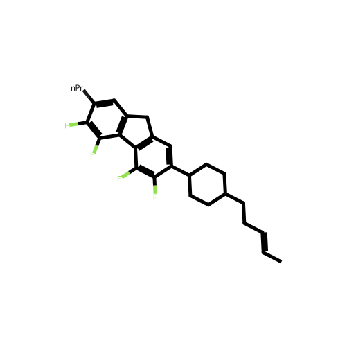 C/C=C/CCC1CCC(c2cc3c(c(F)c2F)-c2c(cc(CCC)c(F)c2F)C3)CC1